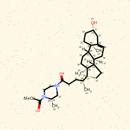 COC(=O)N1CCN(C(=O)CC[C@@H](C)[C@H]2CC[C@H]3[C@@H]4CC=C5C[C@@H](O)CC[C@]5(C)[C@H]4CC[C@]23C)C[C@@H]1C